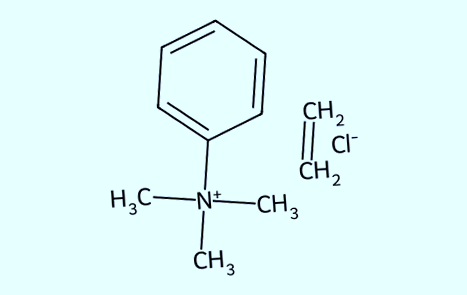 C=C.C[N+](C)(C)c1ccccc1.[Cl-]